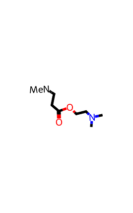 CNCCC(=O)OCCN(C)C